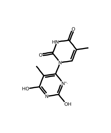 CC1=C(n2cc(C)c(=O)[nH]c2=O)[N+]=C(O)N=C1O